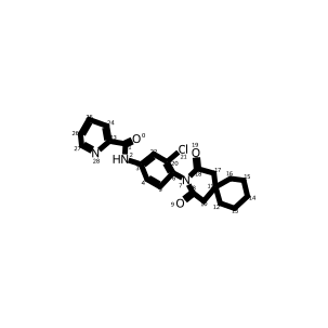 O=C(Nc1ccc(N2C(=O)CC3(CCCCC3)CC2=O)c(Cl)c1)c1ccccn1